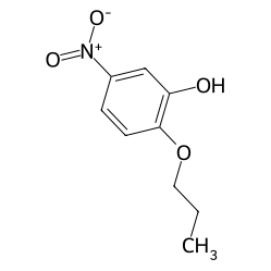 CCCOc1ccc([N+](=O)[O-])cc1O